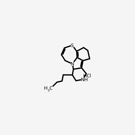 CCCCC1CNCC2=C3CCCC4=C3N(CC=CS4)C21.Cl